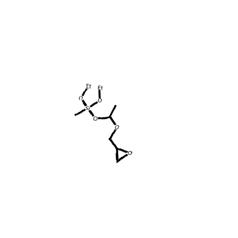 CCO[Si](C)(OCC)OC(C)OCC1CO1